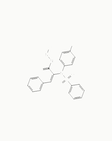 O=C(NNO)C(=Cc1ccccc1)N(c1ccc(Cl)cc1)S(=O)(=O)c1ccccc1